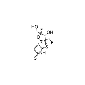 OC[C@@]1(F)O[C@@H](n2ccc(=S)[nH]c2=S)[C@@](F)(CF)C1O